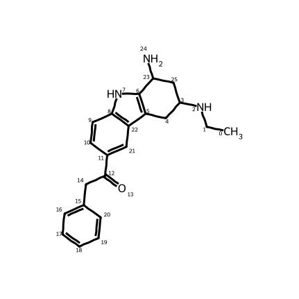 CCNC1Cc2c([nH]c3ccc(C(=O)Cc4ccccc4)cc23)C(N)C1